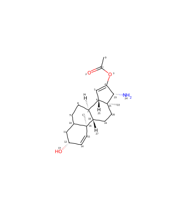 CC(=O)OC1=C[C@H]2[C@@H]3CCC4C[C@@H](O)C=C[C@]4(C)[C@H]3CC[C@]2(C)[C@H]1N